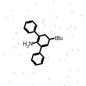 CC(C)(C)C1C=C(c2ccccc2)C(N)=C(c2ccccc2)C1